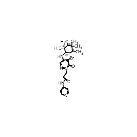 C[C@@H]1[C@@H](C)C(C)(C)[C@@H](C)C[C@H]1Nc1cnn(CCC(=O)Nc2ccncc2)c(=O)c1Br